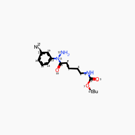 CC(C)(C)OC(=O)NCCCCC(=O)N(N)c1cccc(C#N)c1